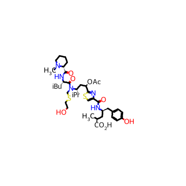 CCC(C)[C@H](NC(=O)[C@H]1CCCCN1C)C(=O)N(CSCCO)[C@H](C[C@@H](OC(C)=O)c1nc(C(=O)N[C@@H](Cc2ccc(O)cc2)C[C@H](C)C(=O)O)cs1)C(C)C